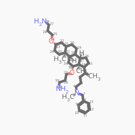 CC(CCCN(C)Cc1ccccc1)C1CC[C@H]2C3CCC4C[C@H](OCCCN)CC[C@]4(C)[C@H]3C[C@H](OCCCN)[C@]12C